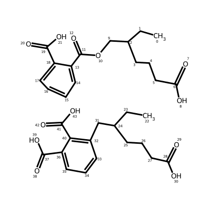 CCC(CCCC(=O)O)COC(=O)c1ccccc1C(=O)O.CCC(CCCC(=O)O)Cc1cccc(C(=O)O)c1C(=O)O